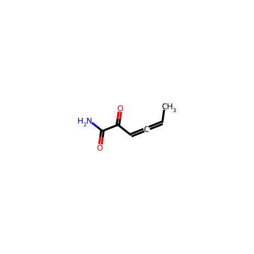 CC=C=CC(=O)C(N)=O